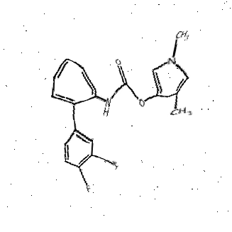 Cc1cn(C)cc1OC(=O)Nc1ccccc1-c1ccc(F)c(F)c1